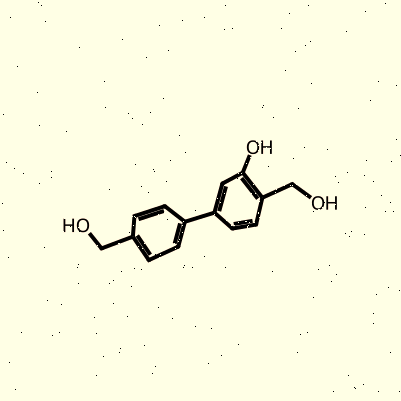 OCc1ccc(-c2ccc(CO)c(O)c2)cc1